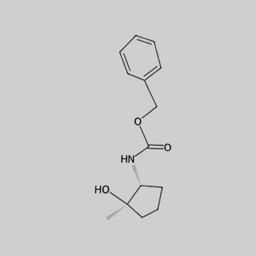 C[C@@]1(O)CCC[C@H]1NC(=O)OCc1ccccc1